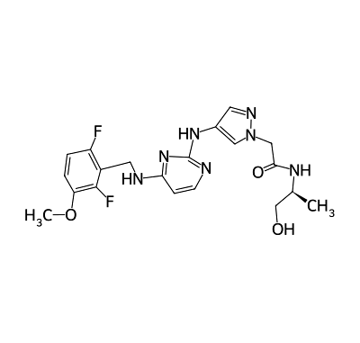 COc1ccc(F)c(CNc2ccnc(Nc3cnn(CC(=O)N[C@@H](C)CO)c3)n2)c1F